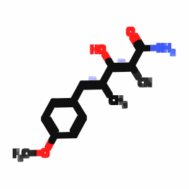 CC(=C\c1ccc(OC(F)(F)F)cc1)/C(O)=C(\C#N)C(N)=O